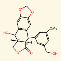 COc1cc(CO)cc(C2c3cc4c(cc3C(O)[C@H]3COC(=O)[C@@H]23)OCO4)c1